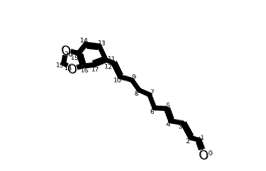 O=[C]C=CC=CCCCCC=Cc1ccc2c(c1)OCO2